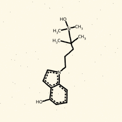 CC(C)(CCCn1ccc2c(O)cccc21)[Si](C)(C)O